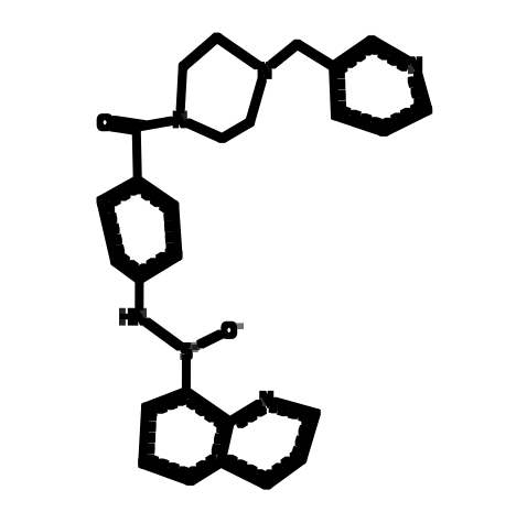 O=C(c1ccc(N[S+]([O-])c2cccc3cccnc23)cc1)N1CCN(Cc2cccnc2)CC1